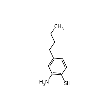 CCCCc1ccc(S)c(N)c1